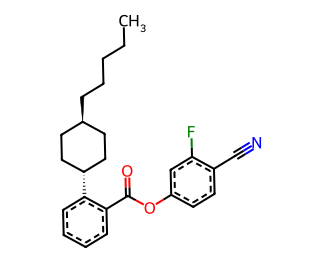 CCCCC[C@H]1CC[C@H](c2ccccc2C(=O)Oc2ccc(C#N)c(F)c2)CC1